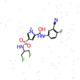 Cn1cc(S(=O)(=O)NC(CF)CF)cc1C(O)Nc1ccc(F)c(C#N)c1